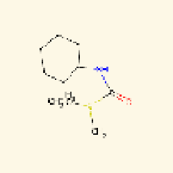 C[S+](C)C(=O)NC1CCCCC1.[CH3-]